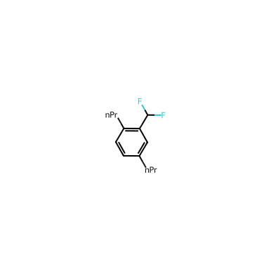 CCCc1ccc(CCC)c(C(F)F)c1